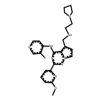 COc1cccc(-c2nc(Nc3ccncc3F)c3c(CNCCN4CCCC4)ccn3n2)n1